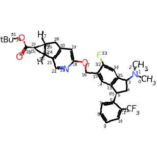 CN(C)C1C[C@@H](c2ccccc2C(F)(F)F)c2cc(COc3cc4c(cn3)[C@H]3[C@@H](C4)[C@@H]3C(=O)OC(C)(C)C)c(F)cc21